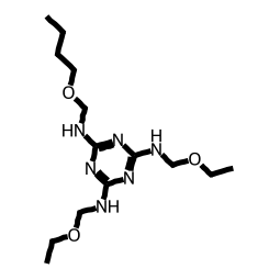 CCCCOCNc1nc(NCOCC)nc(NCOCC)n1